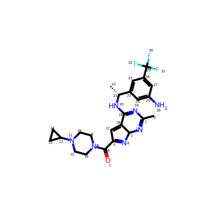 CC1=NC2N=C(C(=O)N3CCN(C4CC4)CC3)C=C2C(N[C@H](C)c2cc(N)cc(C(F)(F)F)c2)=N1